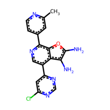 Cc1cc(-c2ncc(-c3cc(Cl)ncn3)c3c(N)c(N)oc23)ccn1